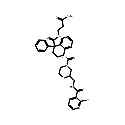 COC(=O)CCNC(=O)C1(c2ccccc2)CC[C@@H](C(=O)N2CCOC(CNC(=O)c3cccnc3O)C2)c2ccccc21